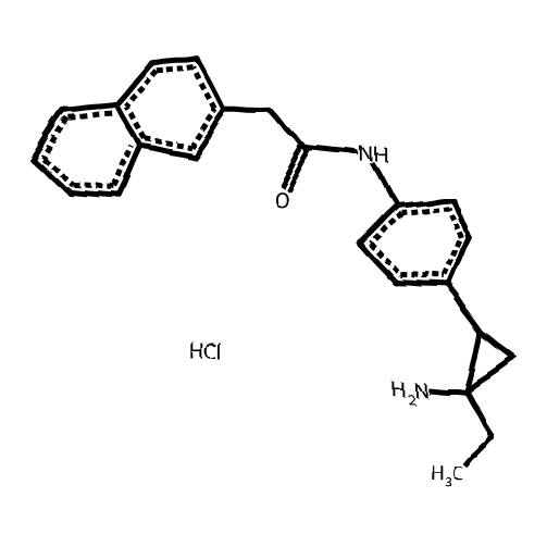 CCC1(N)CC1c1ccc(NC(=O)Cc2ccc3ccccc3c2)cc1.Cl